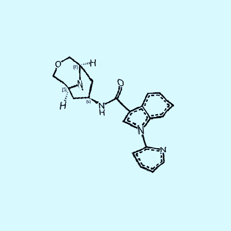 CN1[C@@H]2COC[C@H]1C[C@@H](NC(=O)c1cn(-c3ccccn3)c3ccccc13)C2